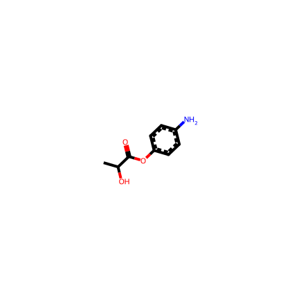 CC(O)C(=O)Oc1ccc(N)cc1